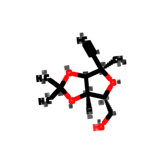 C#C[C@@]1(C)O[C@H](CO)[C@@H]2OC(C)(C)OC21